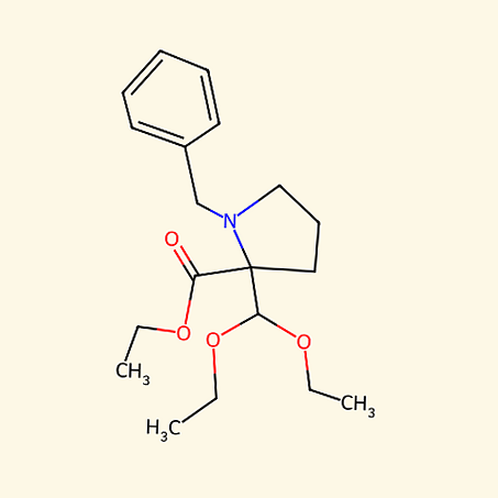 CCOC(=O)C1(C(OCC)OCC)CCCN1Cc1ccccc1